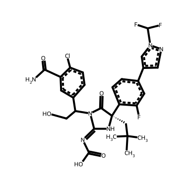 CC(C)(C)C[C@]1(c2ccc(-c3cnn(C(F)F)c3)cc2F)NC(=NC(=O)O)N(C(CO)c2ccc(Cl)c(C(N)=O)c2)C1=O